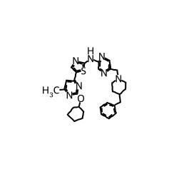 Cc1cc(-c2cnc(Nc3cnc(CN4CCC(Cc5ccccc5)CC4)cn3)s2)nc(OC2CCCCC2)n1